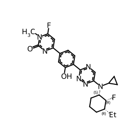 CC[C@@H]1CCC[C@H](N(c2cnc(-c3ccc(-c4cc(F)n(C)c(=O)n4)cc3O)nn2)C2CC2)[C@@H]1F